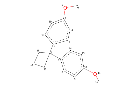 COc1ccc(C2(c3ccc(OC)cc3)C[CH]C2)cc1